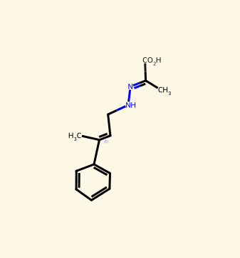 CC(=NNC/C=C(\C)c1ccccc1)C(=O)O